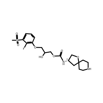 CS(=O)(=O)c1cccc(OCC(O)COC(=O)N[C@@H]2COC3(CCNCC3)C2)c1F